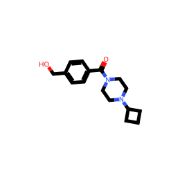 O=C(c1ccc(CO)cc1)N1CCN(C2CCC2)CC1